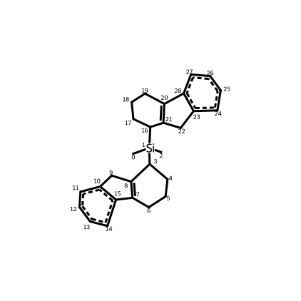 C[Si](C)(C1CCCC2=C1Cc1ccccc12)C1CCCC2=C1Cc1ccccc12